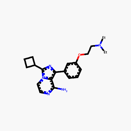 CCN(CC)CCOc1cccc(-c2nc(C3CCC3)n3ccnc(N)c23)c1